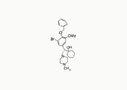 COc1cc(C(CN2CCN(C)CC2)C2(O)CCCCC2)cc(Br)c1OCc1ccccc1